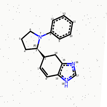 C1=CC([C@H]2CCCN2c2ccccc2)Cc2nc[nH]c21